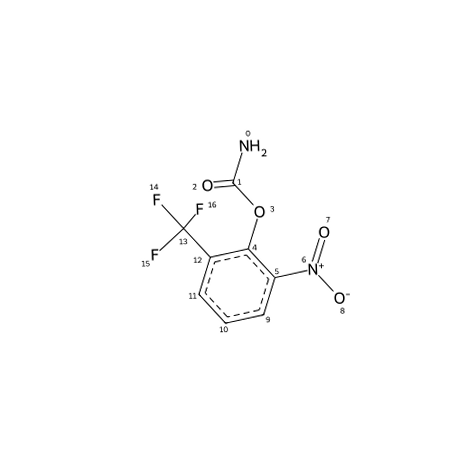 NC(=O)Oc1c([N+](=O)[O-])cccc1C(F)(F)F